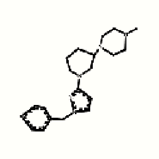 CN1CCN(C2CCCN(c3ccn(Cc4ccccc4)n3)C2)CC1